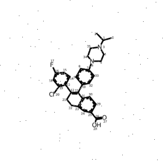 CC(C)N1CCN(c2ccc(C3=C(c4ccc(F)cc4Cl)CCc4cc(C(=O)O)ccc43)cc2)CC1